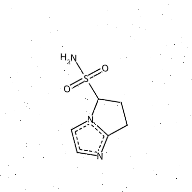 NS(=O)(=O)C1CCc2nccn21